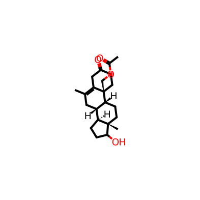 CC(=O)OC[C@]12CCC(=O)CC1=C(C)C[C@@H]1[C@H]2CC[C@]2(C)C(O)CC[C@@H]12